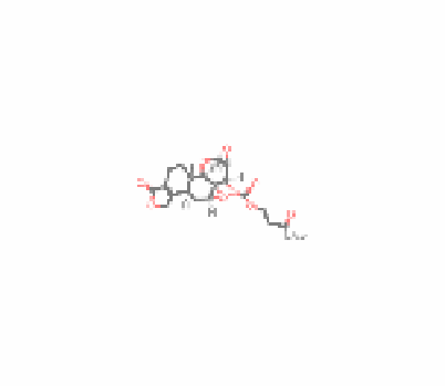 CNC(=O)CCOC(=O)O[C@H]1[C@]23O[C@H]2C[C@H]2C4=C(CC[C@]2(C)[C@]32C[C@]3(O2)O[C@]13C(C)C)C(=O)OC4